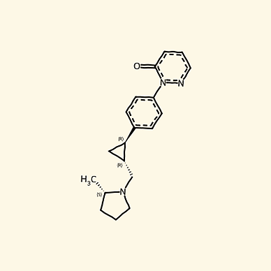 C[C@H]1CCCN1C[C@@H]1C[C@H]1c1ccc(-n2ncccc2=O)cc1